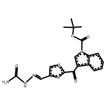 CC(C)(C)OC(=O)n1cc(C(=O)c2nc(/C=N/NC(N)=O)cs2)c2ccccc21